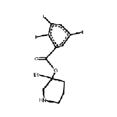 CCC1(OC(=O)c2cc(I)cc(I)c2I)CCCNC1